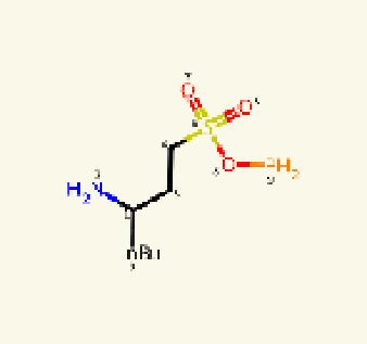 CCCCC(N)CCS(=O)(=O)OP